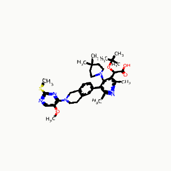 COc1cnc(SC)nc1N1CCc2cc(-c3c(C)nc(C)c(C(OC(C)(C)C)C(=O)O)c3N3CCC(C)(C)CC3)ccc2C1